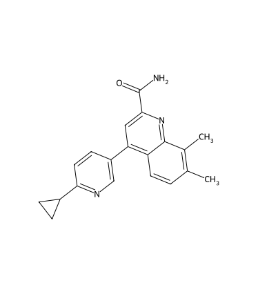 Cc1ccc2c(-c3ccc(C4CC4)nc3)cc(C(N)=O)nc2c1C